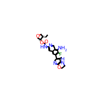 CC[C@H]1COC[C@@H]1OC(=O)Nc1cc2cc(-c3cnc4c(c3C)NCCO4)c(F)c(N)c2cn1